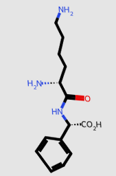 NCCCC[C@@H](N)C(=O)N[C@H](C(=O)O)c1ccccc1